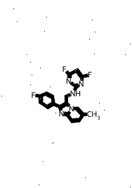 Cc1ccc2nc(-c3ccc(F)cc3)c(CNc3nc(F)cc(F)n3)n2c1